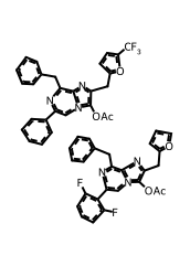 CC(=O)Oc1c(Cc2ccc(C(F)(F)F)o2)nc2c(Cc3ccccc3)nc(-c3ccccc3)cn12.CC(=O)Oc1c(Cc2ccco2)nc2c(Cc3ccccc3)nc(-c3c(F)cccc3F)cn12